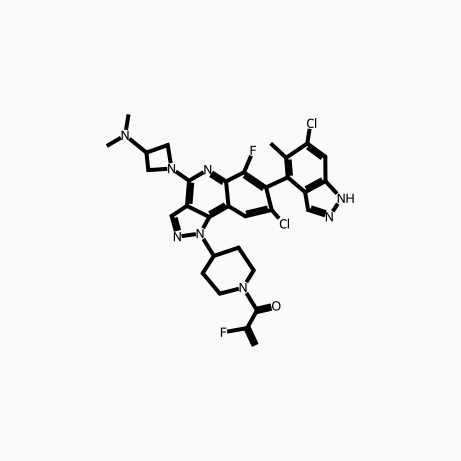 C=C(F)C(=O)N1CCC(n2ncc3c(N4CC(N(C)C)C4)nc4c(F)c(-c5c(C)c(Cl)cc6[nH]ncc56)c(Cl)cc4c32)CC1